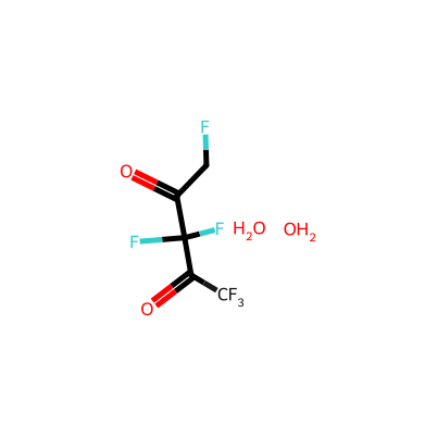 O.O.O=C(CF)C(F)(F)C(=O)C(F)(F)F